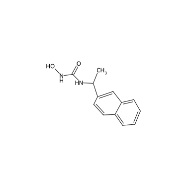 CC(NC(=O)NO)c1ccc2ccccc2c1